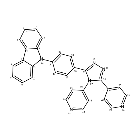 c1ccc2c(c1)c1ccccc1n2-c1ccc(-c2nnc(-c3ccncc3)n2-c2ccncc2)cc1